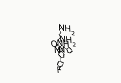 NCCC[C@H](N)CNC(=O)c1nc2cc(-c3ccc(F)cc3)ccc2n1Cc1ccccc1